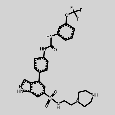 O=C(Nc1ccc(-c2cc(S(=O)(=O)NCCN3CCNCC3)cc3[nH]ncc23)cc1)Nc1cccc(OC(F)(F)F)c1